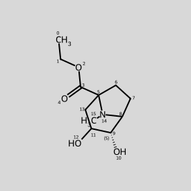 CCOC(=O)C12CCC([C@H](O)C(O)C1)N2C